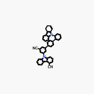 N#Cc1cc(-c2ccc(-c3ccccc3-n3c4c(c5ccccc53)CCC=C4)cc2)cc(-n2c3ccccc3c3c(C#N)cccc32)c1